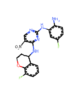 Nc1ccc(F)cc1Nc1ncc([N+](=O)[O-])c(NC2CCOc3c(F)cccc32)n1